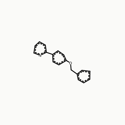 c1ccc(COc2ccc(-c3ccccn3)cc2)cc1